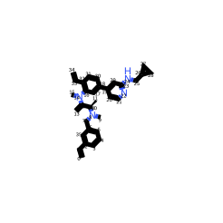 C=Cc1cccc(CN(C)[C@H](C)C(=C)N(C)c2cc(-c3ccnc(NCC4CC4)c3)ccc2C=C)c1